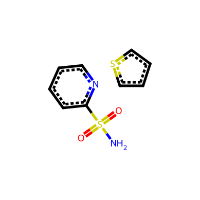 NS(=O)(=O)c1ccccn1.c1ccsc1